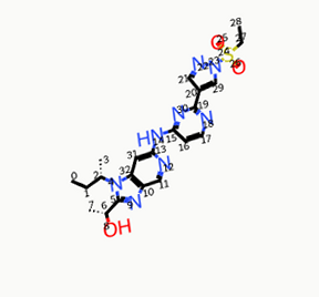 CC[C@H](C)n1c([C@@H](C)O)nc2cnc(Nc3ccnc(-c4cnn(S(=O)(=O)CC)c4)n3)cc21